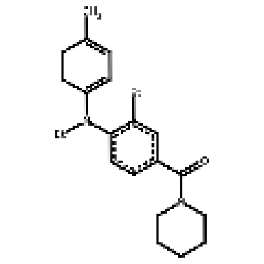 CCc1cc(C(=O)N2CCCCC2)ccc1N(CC)C1=CC=C(C)CC1